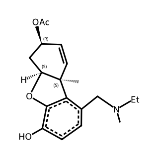 CCN(C)Cc1ccc(O)c2c1[C@]1(C)C=C[C@H](OC(C)=O)C[C@@H]1O2